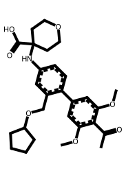 COc1cc(-c2ccc(NC3(C(=O)O)CCOCC3)cc2COC2CCCC2)cc(OC)c1C(C)=O